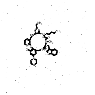 CN1C(=O)[C@H](CCCCN)NC(=O)[C@H](CCCN)NCc2cccnc2Sc2c(Cl)cc(N3CCOCC3)cc2CNC(=O)[C@@H]1Cc1c[nH]c2ccccc12